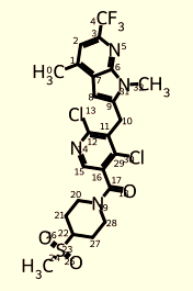 Cc1cc(C(F)(F)F)nc2c1cc(Cc1c(Cl)ncc(C(=O)N3CCC(S(C)(=O)=O)CC3)c1Cl)n2C